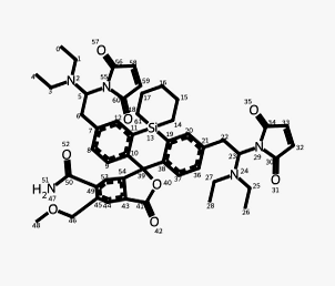 CCN(CC)C(Cc1ccc2c(c1)[Si]1(CCCCC1)c1cc(CC(N(CC)CC)N3C(=O)C=CC3=O)ccc1C21OC(=O)c2cc(COC)c(C(N)=O)cc21)N1C(=O)C=CC1=O